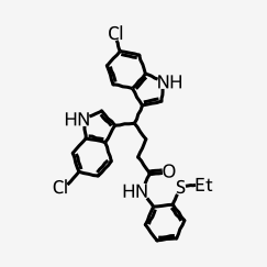 CCSc1ccccc1NC(=O)CCC(c1c[nH]c2cc(Cl)ccc12)c1c[nH]c2cc(Cl)ccc12